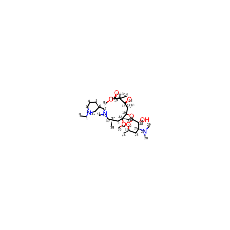 CCN1CCC[C@@H]([C@@H]2COC(=O)C(C)(C)C(=O)[C@H](C)[C@@H](O[C@@H]3O[C@H](C)C[C@H](N(C)C)[C@H]3O)[C@](C)(OC)C[C@@H](C)CN2C)C1